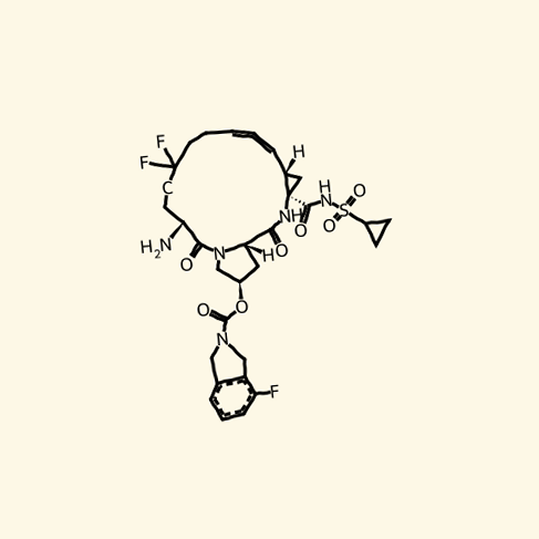 N[C@H]1CCC(F)(F)CCC=C=C[C@@H]2C[C@@]2(C(=O)NS(=O)(=O)C2CC2)NC(=O)[C@@H]2C[C@@H](OC(=O)N3Cc4cccc(F)c4C3)CN2C1=O